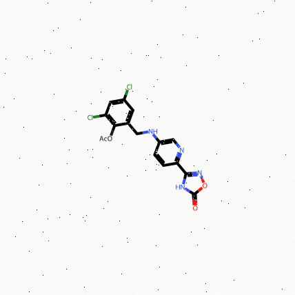 CC(=O)Oc1c(Cl)cc(Cl)cc1CNc1ccc(-c2noc(=O)[nH]2)nc1